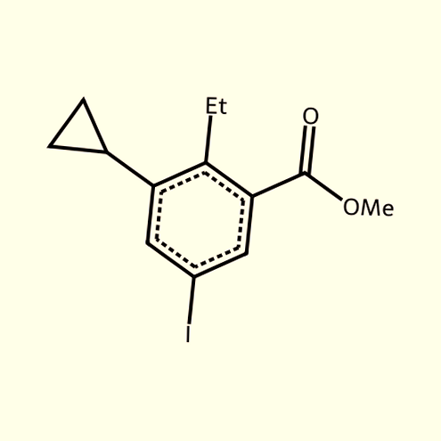 CCc1c(C(=O)OC)cc(I)cc1C1CC1